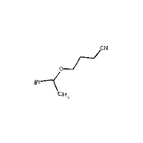 CC(C)C(C)OCCCC#N